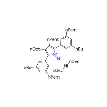 CCCCCCCCC1=C(c2cc(CCCC)cc(CCCCC)c2)[N+](=[N-])C(c2cc(CCCC)cc(CCCCC)c2)=C1CCCCC.CCCCCCCCC[CH2][Ni][CH2]CCCCCCCCC